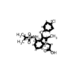 Cc1c(Oc2ccc(Cl)cc2)c2c(NS(=O)(=O)C(C)C)cccc2n1CC(=O)O